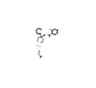 CC(C)(C)OC(=O)CCNS(=O)(=O)N1CCC(c2ccccn2)(C(C)(C)NC(=O)c2ccc(Cl)cc2Cl)CC1